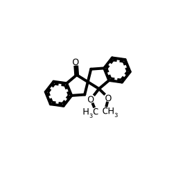 COC1(OC)c2ccccc2CC12Cc1ccccc1C2=O